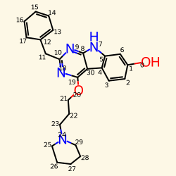 Oc1ccc2c(c1)[nH]c1nc(Cc3ccccc3)nc(OCCCN3CCCCC3)c12